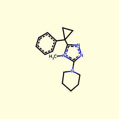 Cn1c(N2CCCCC2)nnc1C1(c2ccccc2)CC1